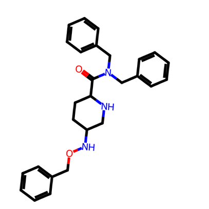 O=C(C1CCC(NOCc2ccccc2)CN1)N(Cc1ccccc1)Cc1ccccc1